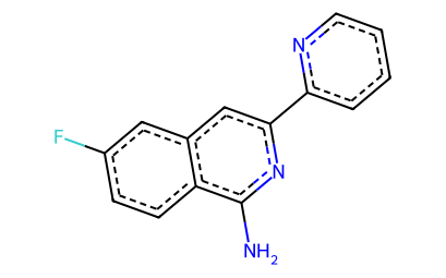 Nc1nc(-c2ccccn2)cc2cc(F)ccc12